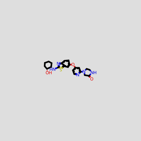 O=C1CN(c2cc(Oc3ccc4nc(N[C@@H]5CCCC[C@H]5O)sc4c3)ccn2)CCN1